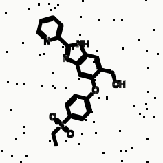 CCS(=O)(=O)c1ccc(Oc2cc3nc(-c4ccccn4)[nH]c3cc2CO)cc1